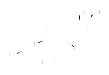 C[C@]12CC[C@@H]3[C@H]4CC[C@H](O)C[C@@H]4OC[C@H]3[C@@H]1CC[C@@H]2O